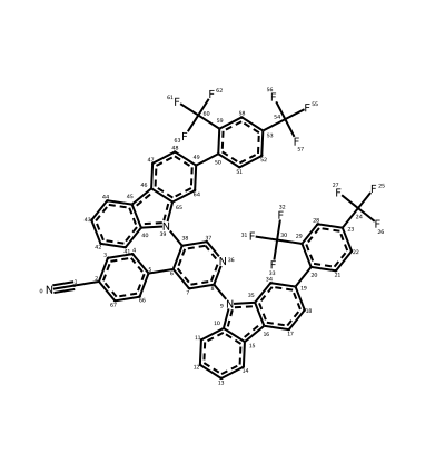 N#Cc1ccc(-c2cc(-n3c4ccccc4c4ccc(-c5ccc(C(F)(F)F)cc5C(F)(F)F)cc43)ncc2-n2c3ccccc3c3ccc(-c4ccc(C(F)(F)F)cc4C(F)(F)F)cc32)cc1